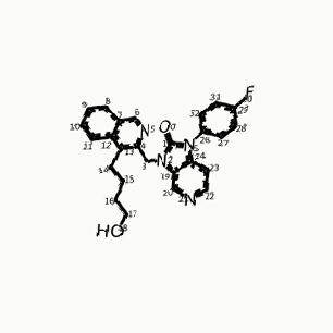 O=c1n(Cc2ncc3ccccc3c2CCCCO)c2cnccc2n1-c1ccc(F)cc1